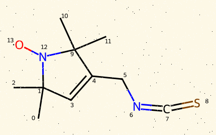 CC1(C)C=C(CN=C=S)C(C)(C)N1[O]